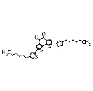 CCCCCCc1csc(-c2cc3c(s2)-c2sc(-c4cc(CCCCCC)cs4)cc2C(=O)C3=O)c1